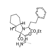 CCOC(=O)[C@H](CCc1ccccc1)N1[C@H]2CCCC[C@H]2C[C@@]1(C(=O)O)C(=O)[C@H](C)N